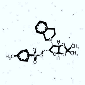 Cc1ccc(S(=O)(=O)OC[C@H]2O[C@@H]3OC(C)(C)O[C@@H]3[C@H]2N2CCc3ccccc3C2)cc1